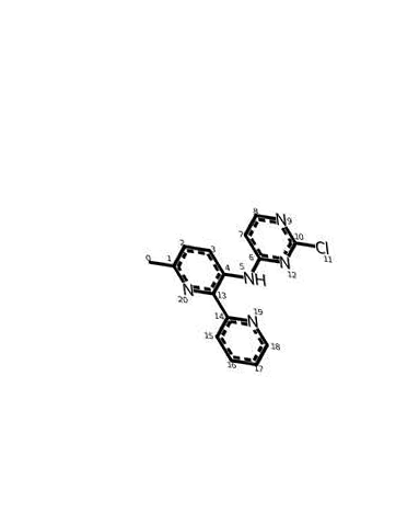 Cc1ccc(Nc2ccnc(Cl)n2)c(-c2ccccn2)n1